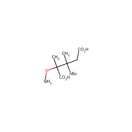 CCCCC(C)(CC(=O)O)C(C)(O[SiH3])C(=O)O